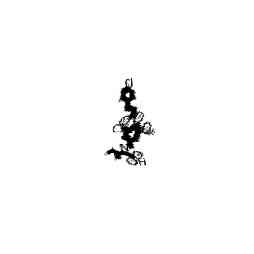 CCC(C)C(/N=C/c1cc(Cl)c(OC(=O)/C=C/c2ccc(Cl)cc2)c(OC)c1)C(=O)O